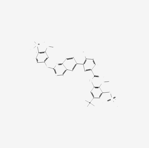 COc1cc(Nc2ncc3cc(-c4cc(C(=O)Nc5cc(C(C)(C)C)cc(NS(C)(=O)=O)c5OC)ccc4C)ccc3n2)ccc1P(C)(=O)O